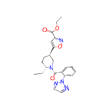 CCOC(=O)c1cc([C@@H]2CC[C@@H](CC)N(C(=O)c3ccccc3-n3nccn3)C2)on1